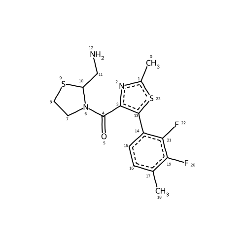 Cc1nc(C(=O)N2CCSC2CN)c(-c2ccc(C)c(F)c2F)s1